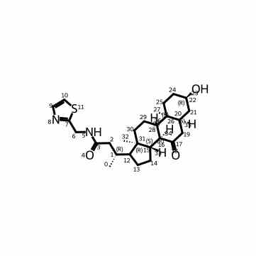 C[C@H](CC(=O)NCc1nccs1)C1CC[C@H]2[C@@H]3C(=O)C[C@@H]4C[C@H](O)CC[C@]4(C)[C@H]3CC[C@]12C